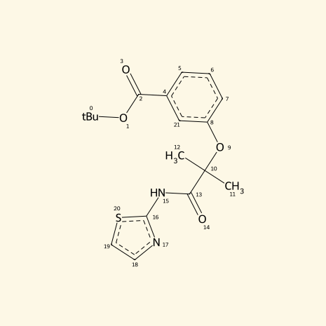 CC(C)(C)OC(=O)c1cccc(OC(C)(C)C(=O)Nc2nccs2)c1